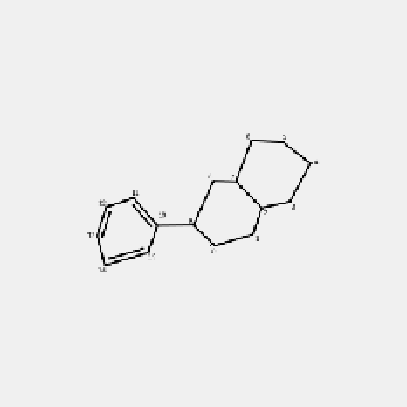 [CH]1CC2CCCCC2CC1c1ccccc1